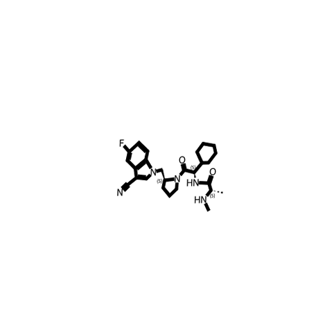 CN[C@@H](C)C(=O)N[C@H](C(=O)N1CCC[C@H]1Cn1cc(C#N)c2cc(F)ccc21)C1CCCCC1